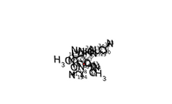 CN1C(=O)C2(CCN(CC3(CC#N)CC3)C2)c2c1cnc1[nH]c(-c3cnn(Cc4ccc(C#N)cc4)c3)c(-c3ccc4c(cnn4C)c3)c21